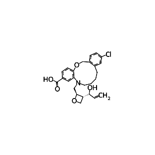 C=CC(O)[C@@H]1CO[C@H]1CN1CCCCc2cc(Cl)ccc2COc2ccc(C(=O)O)cc21